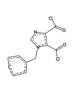 O=C(Cl)c1ncn(Cc2ccccc2)c1C(=O)Cl